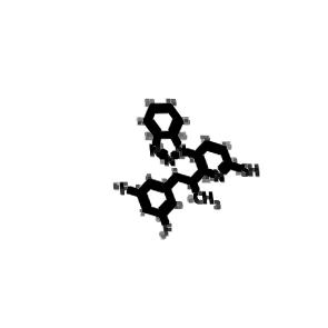 CC(Cc1cc(F)cc(F)c1)c1nc(S)ccc1-n1nnc2ccccc21